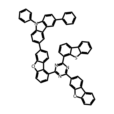 c1ccc(-c2ccc3c(c2)c2cc(-c4ccc5c(c4)oc4cccc(-c6nc(-c7ccc8c(c7)oc7ccccc78)nc(-c7cccc8c7sc7ccccc78)n6)c45)ccc2n3-c2ccccc2)cc1